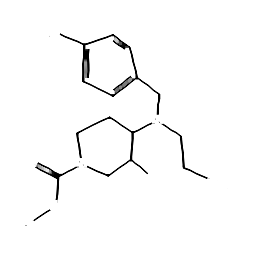 CCOC(=O)CCN(Cc1ccc(C(F)(F)F)cc1)C1CCN(C(=O)OC(C)(C)C)CC1C(=O)OCC